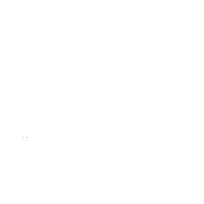 COC(=O)/C=C/c1ccc(Cl)cc1OCCCBr